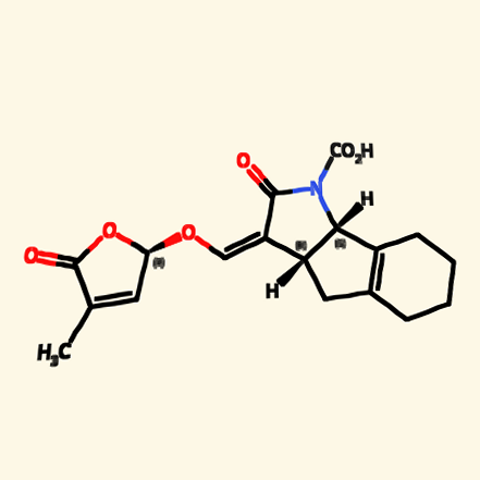 CC1=C[C@H](OC=C2C(=O)N(C(=O)O)[C@@H]3C4=C(CCCC4)C[C@H]23)OC1=O